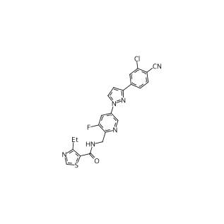 CCc1ncsc1C(=O)NCc1ncc(-n2ccc(-c3ccc(C#N)c(Cl)c3)n2)cc1F